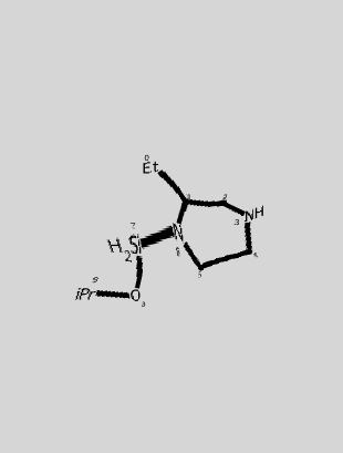 CCC1CNCCN1[SiH2]OC(C)C